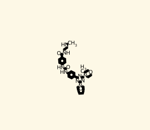 CNCCNC(=O)c1ccc(NC(=O)Nc2ccc(-c3nc(N4CC5CCC(C4)O5)nc(N4CCOCC4C)n3)cc2)cc1